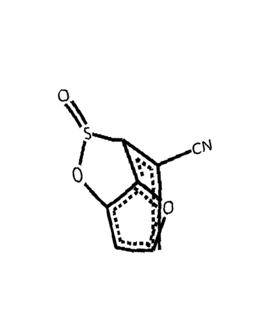 N#Cc1c2c3oc1cc3OS2=O